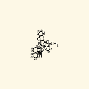 C[C@H](Oc1cc(Oc2cncnc2)nc(C2=C3CCC[C@@]4(CCCCC4=O)C3NO2)n1)[C@@H]1CCCN1C